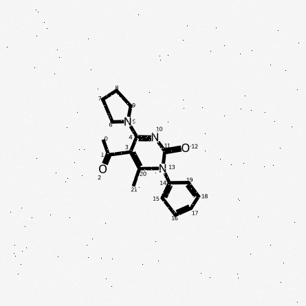 CC(=O)c1c(N2CCCC2)nc(=O)n(-c2ccccc2)c1C